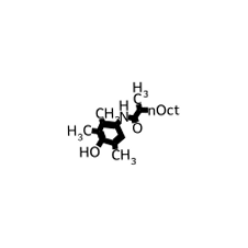 CCCCCCCCC(C)C(=O)Nc1cc(C)c(O)c(C)c1C